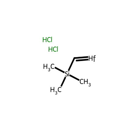 C[Si](C)(C)[CH]=[Hf].Cl.Cl